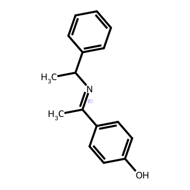 C/C(=N\C(C)c1ccccc1)c1ccc(O)cc1